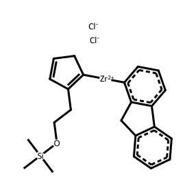 C[Si](C)(C)OCCC1=[C]([Zr+2][c]2cccc3c2Cc2ccccc2-3)CC=C1.[Cl-].[Cl-]